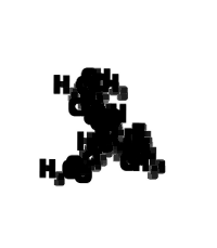 COC(=O)c1ccc(C(CC[C@@H]2CN(C(=O)C(F)(F)F)C(C)(C)C2)Nc2cccc(S(=O)(=O)NC(=O)c3ccc(C(C)(C)C)nc3Cl)n2)cc1